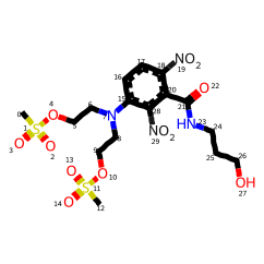 CS(=O)(=O)OCCN(CCOS(C)(=O)=O)c1ccc([N+](=O)[O-])c(C(=O)NCCCO)c1[N+](=O)[O-]